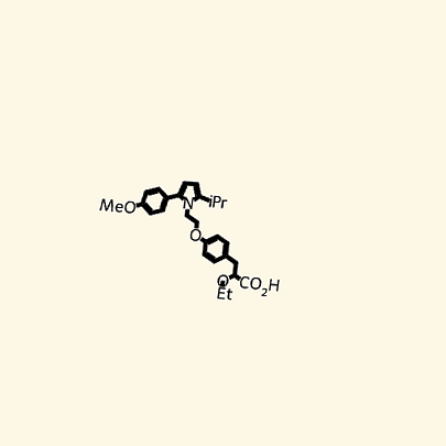 CCOC(Cc1ccc(OCCn2c(-c3ccc(OC)cc3)ccc2C(C)C)cc1)C(=O)O